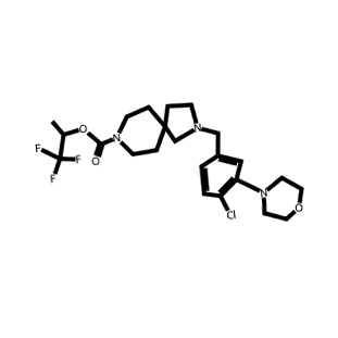 CC(OC(=O)N1CCC2(CCN(Cc3ccc(Cl)c(N4CCOCC4)c3)C2)CC1)C(F)(F)F